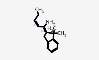 CC/C=C\C(N)=C1/Cc2ccccc2C1(C)C